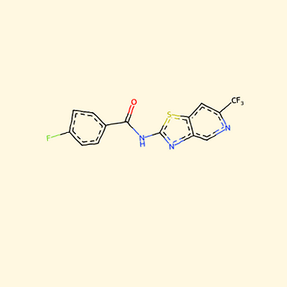 O=C(Nc1nc2cnc(C(F)(F)F)cc2s1)c1ccc(F)cc1